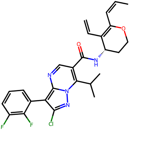 C=CC1=C(/C=C\C)OCC[C@@H]1NC(=O)c1cnc2c(-c3cccc(F)c3F)c(Cl)nn2c1C(C)C